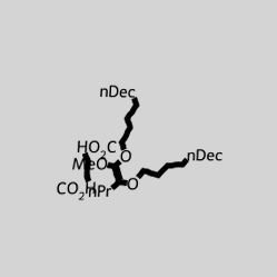 CCCCCCCCCCCCCCOC(CCC)=C(OC)OCCCCCCCCCCCCCC.O=C(O)CCC(=O)O